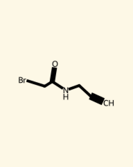 C#CCNC(=O)CBr